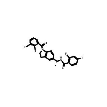 C[C@@H](NC(=O)c1ccc(Cl)cc1F)c1ccc2c(c1)CCN2C(=O)c1cccc(Cl)c1F